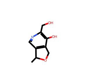 CC1OCc2c1cnc(CO)c2O